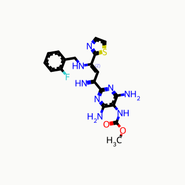 COC(=O)Nc1c(N)nc(C(=N)/C=C(\NCc2ccccc2F)c2nccs2)nc1N